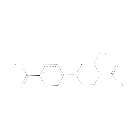 COC(=O)c1ccc(N2CCN(C(=O)OC)C(C(C)(C)C)C2)cn1